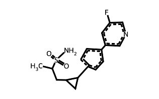 CC(CC1CC1c1ccc(-c2cncc(F)c2)cc1)S(N)(=O)=O